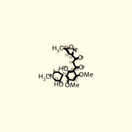 COc1cc(OC)c([C@H]2CCN(C)C[C@H]2O)c(O)c1C(=O)CC(=O)c1cc(C)on1